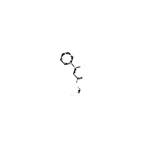 C=COC(=O)/C=C(/c1ccccc1)[N+](=O)[O-]